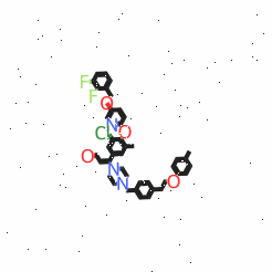 Cc1ccc(OCCc2ccc(CN3CCN(/C(=C/C=O)c4cc(C)c(Oc5ccc(OCc6cccc(F)c6F)cn5)c(Cl)c4)CC3)cc2)cc1